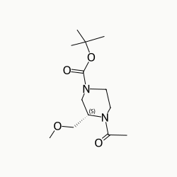 COC[C@@H]1CN(C(=O)OC(C)(C)C)CCN1C(C)=O